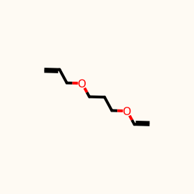 C=CCOCCCOC=C